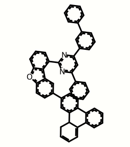 C1=CCC2C(=C1)c1ccccc1-c1ccc(-c3ccc4oc5cccc(-c6nc(-c7ccccc7)cc(-c7cccc(-c8ccccc8)c7)n6)c5c4c3)cc12